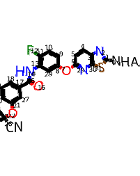 CC(=O)Nc1nc2ccc(Oc3ccc(F)c(NC(=O)c4cccc(OC(C)(C)C#N)c4)c3)nc2s1